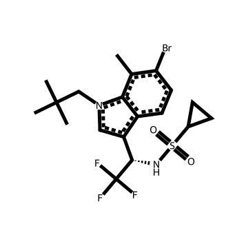 Cc1c(Br)ccc2c([C@H](NS(=O)(=O)C3CC3)C(F)(F)F)cn(CC(C)(C)C)c12